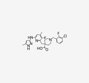 Cc1cc(Nc2cc(C)c(F)c(CC3(C(=O)O)CCN(Cc4cccc(Cl)c4F)CC3)n2)n[nH]1